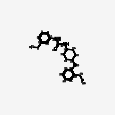 O=C(Nc1cccc(CF)c1)NC1CCC(Oc2ccccc2CF)CC1